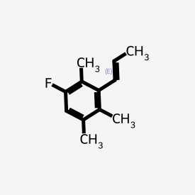 C/C=C/c1c(C)c(C)cc(F)c1C